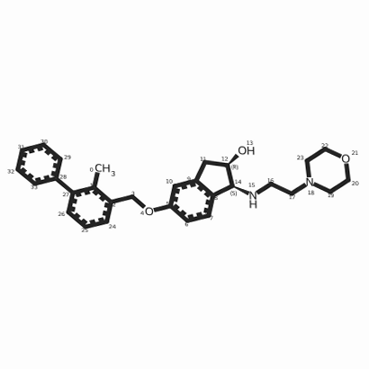 Cc1c(COc2ccc3c(c2)C[C@@H](O)[C@H]3NCCN2CCOCC2)cccc1-c1ccccc1